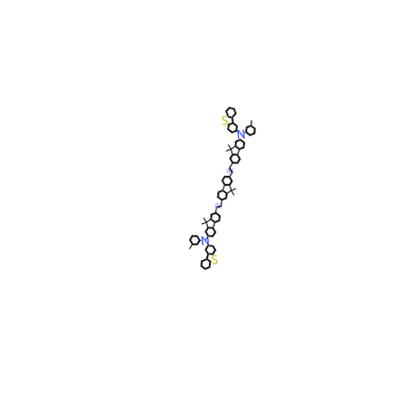 Cc1cccc(N(c2ccc3c(c2)C(C)(C)c2cc(/C=C/c4ccc5c(c4)C(C)(C)c4cc(/C=C/c6ccc7c(c6)C(C)(C)c6cc(N(c8cccc(C)c8)c8ccc9sc%10ccccc%10c9c8)ccc6-7)ccc4-5)ccc2-3)c2ccc3sc4ccccc4c3c2)c1